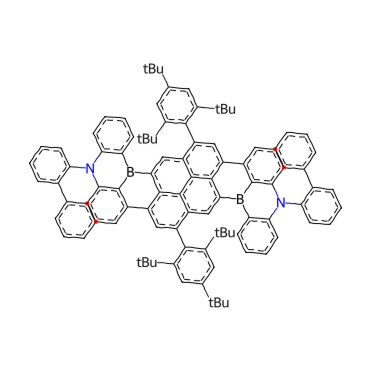 CC(C)(C)c1cc(C(C)(C)C)c(-c2cc3c4c(cc5c(-c6c(C(C)(C)C)cc(C(C)(C)C)cc6C(C)(C)C)cc6c7c(cc2c4c57)B2c4ccccc4N(c4ccccc4-c4ccccc4)c4cccc-6c42)B2c4ccccc4N(c4ccccc4-c4ccccc4)c4cccc-3c42)c(C(C)(C)C)c1